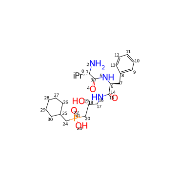 CC(C)[C@H](N)C(=O)N[C@@H](Cc1ccccc1)C(=O)NC[C@@H](O)CP(=O)(O)CC1CCCCC1